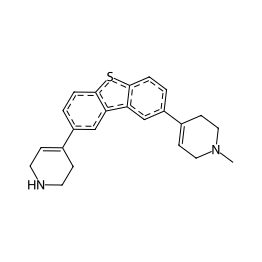 CN1CC=C(c2ccc3sc4ccc(C5=CCNCC5)cc4c3c2)CC1